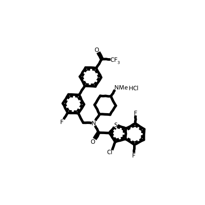 CNC1CCC(N(Cc2cc(-c3ccc(C(=O)C(F)(F)F)cc3)ccc2F)C(=O)c2sc3c(F)ccc(F)c3c2Cl)CC1.Cl